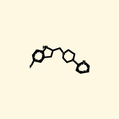 Fc1ccc2c(c1)CC(CN1CCN(c3ccccn3)CC1)N2